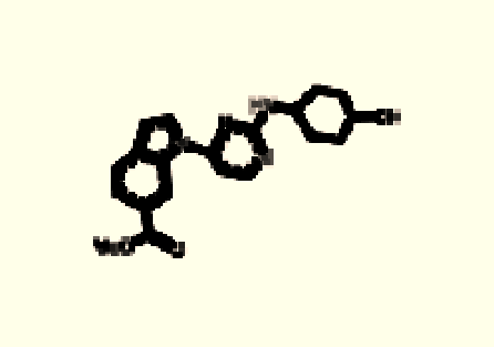 COC(=O)c1ccc2ccn(-c3ccnc(NC4CCC(O)CC4)n3)c2c1